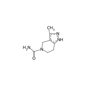 Cc1n[nH]c2c1CN(C(N)=O)CC2